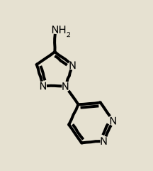 Nc1cnn(-c2ccnnc2)n1